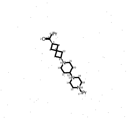 CC(C)C(=O)[C@H]1CC2(C1)C[C@H](N1CCC(N3CCN(C(C)C)CC3)CC1)C2